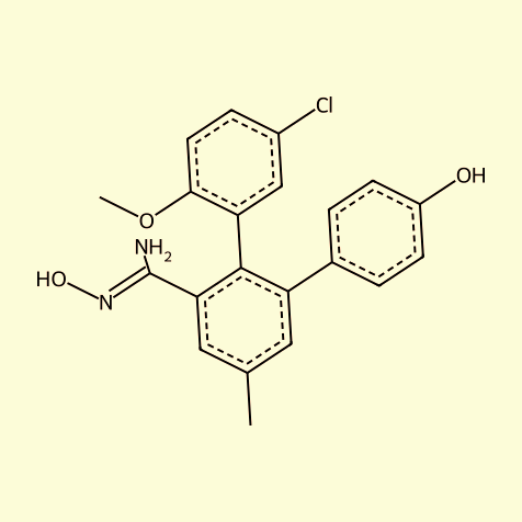 COc1ccc(Cl)cc1-c1c(/C(N)=N/O)cc(C)cc1-c1ccc(O)cc1